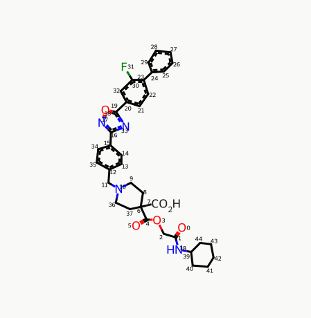 O=C(COC(=O)C1(C(=O)O)CCN(Cc2ccc(-c3noc(-c4ccc(-c5ccccc5)c(F)c4)n3)cc2)CC1)NC1CCCCC1